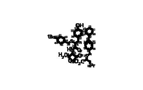 CC(C)CC(SCc1ccc(-c2ccccc2)cc1)C(=O)O.CC1OCC(=O)C1NC(=O)C(Cc1ccc(O)cc1)SCc1ccc(C(C)(C)C)cc1